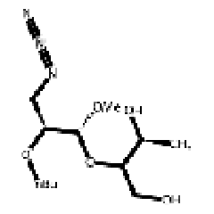 CCCCO[C@@H](CN=[N+]=[N-])[C@H](OC)OC(CO)[C@H](C)O